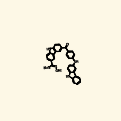 CNC(=NOC(C)=O)c1ccc2[nH]c3ccc(C(=O)c4ccc(Nc5ccc6[nH]c7ccccc7c6c5)cc4)cc3c2c1